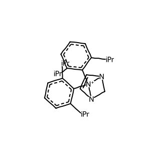 CC(C)c1cccc(C(C)C)c1[N+]1(c2c(C(C)C)cccc2C(C)C)N2C=CN1C2